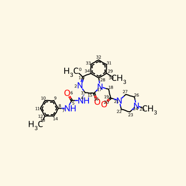 CC1=N[C@@H](NC(=O)Nc2cccc(C)c2)C(=O)N(CC(=O)N2CCN(C)CC2)c2c(C)cccc21